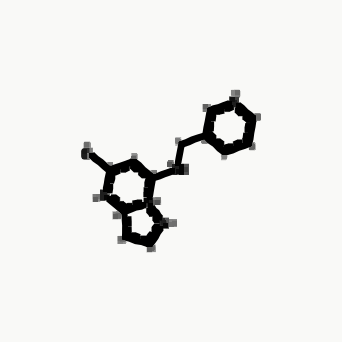 Clc1cc(NCc2cccnc2)n2nccc2n1